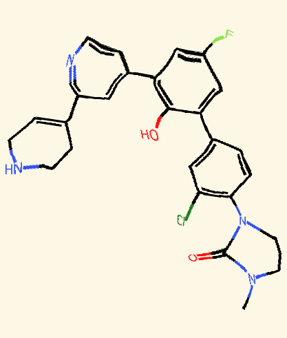 CN1CCN(c2ccc(-c3cc(F)cc(-c4ccnc(C5=CCNCC5)c4)c3O)cc2Cl)C1=O